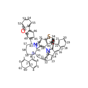 C1=Cc2c(cccc2/C2=C3\Cc4ccc5c6cc7ccccc7cc6n(c5c4)-c4c(ccc5sc6ccccc6c45)\C3=N\C(c3ccc4c(c3)oc3ccccc34)CCC2)CC1